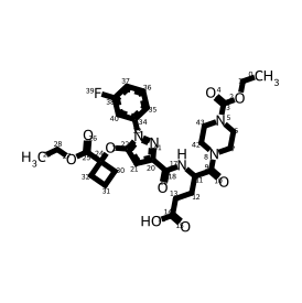 CCOC(=O)N1CCN(C(=O)C(CCC(=O)O)NC(=O)c2cc(OC3(C(=O)OCC)CCC3)n(-c3cccc(F)c3)n2)CC1